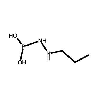 CCCNNP(O)O